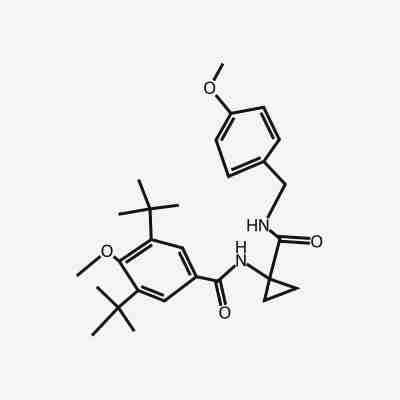 COc1ccc(CNC(=O)C2(NC(=O)c3cc(C(C)(C)C)c(OC)c(C(C)(C)C)c3)CC2)cc1